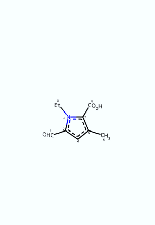 CCn1c(C=O)cc(C)c1C(=O)O